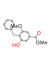 COC(=O)c1cc(O)c(Cc2ccccc2)c(OC)c1